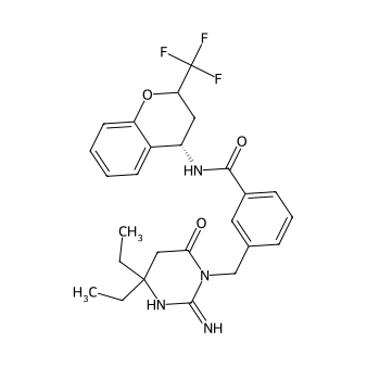 CCC1(CC)CC(=O)N(Cc2cccc(C(=O)N[C@H]3CC(C(F)(F)F)Oc4ccccc43)c2)C(=N)N1